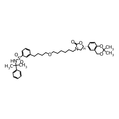 CC1(C)OCc2cc([C@@H]3CN(CCCCCCOCCCCc4cccc(S(=O)(=O)NC(C)(C)c5ccccc5)c4)C(=O)O3)ccc2O1